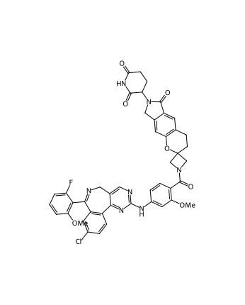 COc1cc(Nc2ncc3c(n2)-c2ccc(Cl)cc2C(c2c(F)cccc2OC)=NC3)ccc1C(=O)N1CC2(CCc3cc4c(cc3O2)CN(C2CCC(=O)NC2=O)C4=O)C1